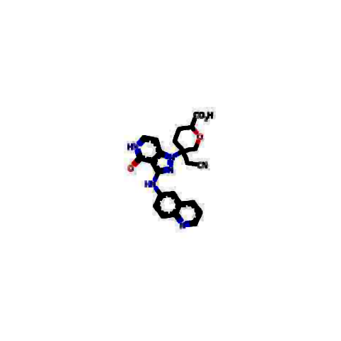 N#CCC1(n2nc(Nc3ccc4ncccc4c3)c3c(=O)[nH]ccc32)CCC(C(=O)O)OC1